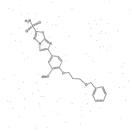 COc1cc(-c2cn3nc(S(N)(=O)=O)sc3n2)ccc1OCCCOCc1ccccc1